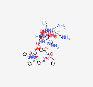 NCCCC[C@H](NC(=O)[C@H](CCCCN)NC(=O)[C@H](CCCCN)NC(=O)[C@H](CCCCN)NC(=O)[C@H](CCCCN)NC(=O)[C@H](CO)NC(=O)CNC(=O)COc1cc(C(=O)N2C[C@@H](C(=O)N[C@H]3C[C@@H]3c3ccccc3)[C@H](C(=O)N[C@H]3C[C@@H]3c3ccccc3)C2)ccc1C(=O)N1C[C@@H](C(=O)N[C@H]2C[C@@H]2c2ccccc2)[C@H](C(=O)N[C@H]2C[C@@H]2c2ccccc2)C1)C(=O)O